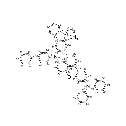 CC1(C)c2ccccc2-c2cc(N(c3ccc(-c4ccccc4)cc3)c3ccc4c5c(cccc35)-c3ccc(N(c5ccccc5)c5ccccc5)cc3O4)ccc21